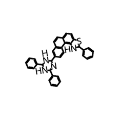 c1ccc(C2=NC(c3ccc4c(ccc5ccc6c(c54)NC(c4ccccc4)S6)c3)NC(c3ccccc3)N2)cc1